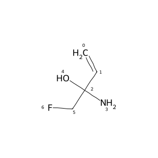 C=CC(N)(O)CF